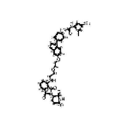 CC(C)(C)c1cc(NC(=O)Nc2ccc(-n3cnc4cc(OCCOCCNc5cccc6c5C(=O)N(C5CCC(=O)NC5=O)C6=O)ccc43)cc2)[nH]n1